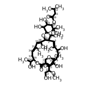 CCC1/C=C(\C)C(O)C/C=C/C=C(\COC(C)C(O)C(O)C(CO)OC)C(=O)OC(C(C)O)C/C=C(C)/C=C(\C)C1OC1OC(C)(C)C(OC(=O)CC(C)C)C(O)C1O